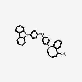 C=C1/C=C\C=C/N(c2ccc(Nc3ccc(N4c5ccccc5C5C=CCCC54)cc3)cc2)c2ccccc21